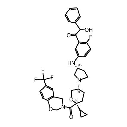 O=C(c1cc(N[C@@H]2CCN([C@@H]3CC[C@@](C(=O)N4COc5ccc(C(F)(F)F)cc5C4)(C4CC4)OC3)C2)ccc1F)C(O)c1ccccc1